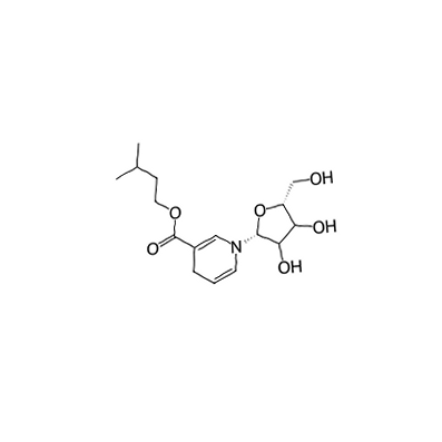 CC(C)CCOC(=O)C1=CN([C@@H]2O[C@H](CO)C(O)C2O)C=CC1